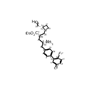 CCOC(=O)[C@@H](C[C@H](N)Cc1ccc(-c2cc(Cl)ccc2F)cc1)CN1CC[C@H]1CO